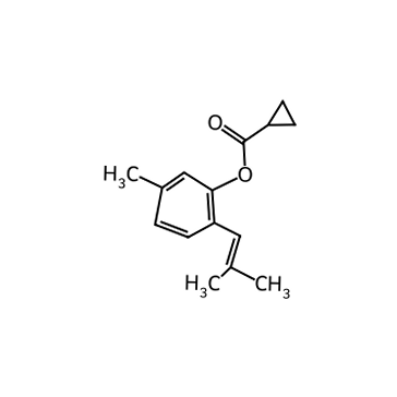 CC(C)=Cc1ccc(C)cc1OC(=O)C1CC1